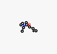 CC1(C)c2ccccc2-c2ccc(-c3ccc4c(c3)oc3c5ccccc5c(N(c5ccc(-c6ccccc6)cc5)c5cccc6ccccc56)cc43)cc21